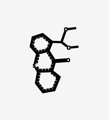 COC(OC)c1cccc2sc3ccccc3c(=O)c12